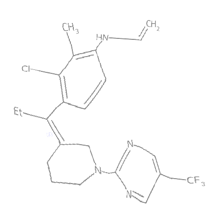 C=CNc1ccc(/C(CC)=C2/CCCN(c3ncc(C(F)(F)F)cn3)C2)c(Cl)c1C